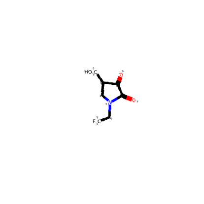 O=C(O)C1CN(CC(F)(F)F)C(=O)C1=O